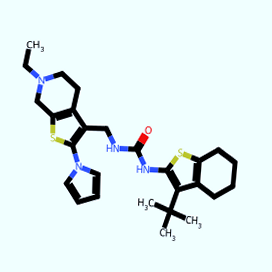 CCN1CCc2c(sc(-n3cccc3)c2CNC(=O)Nc2sc3c(c2C(C)(C)C)CCCC3)C1